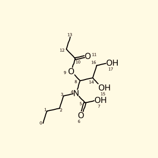 CCCCN(C(=O)O)C(OC(=O)CC)C(O)CO